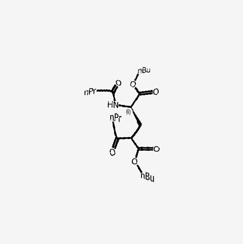 CCCCOC(=O)C(C[C@@H](NC(=O)CCC)C(=O)OCCCC)C(=O)CCC